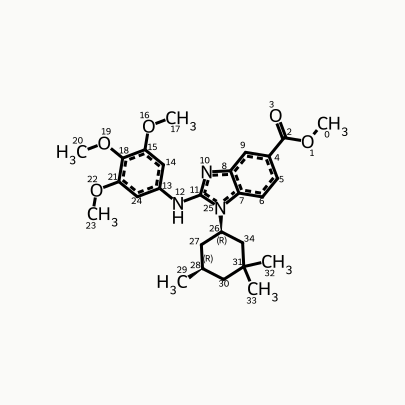 COC(=O)c1ccc2c(c1)nc(Nc1cc(OC)c(OC)c(OC)c1)n2[C@@H]1C[C@H](C)CC(C)(C)C1